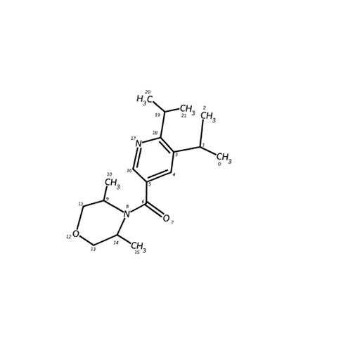 CC(C)c1cc(C(=O)N2C(C)COCC2C)cnc1C(C)C